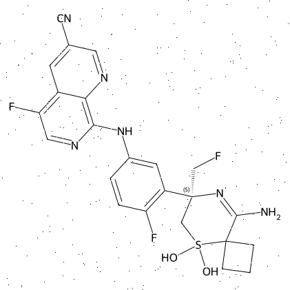 N#Cc1cnc2c(Nc3ccc(F)c([C@]4(CF)CS(O)(O)C5(CCC5)C(N)=N4)c3)ncc(F)c2c1